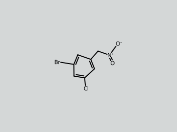 O=[N+]([O-])Cc1cc(Cl)cc(Br)c1